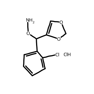 Cl.NOC(C1=COCO1)c1ccccc1Cl